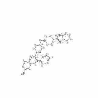 Fc1ccc2c(c1)=CN(c1ccccc1)C(c1ccc(CN3CCC(c4nc5ccccc5[nH]4)CC3)cc1)N=2